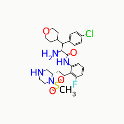 CS(=O)(=O)N1CCNC[C@@H]1CCc1c(F)cccc1NC(=O)[C@@H](N)C(c1ccc(Cl)cc1)C1CCOCC1